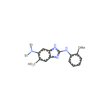 CCN(CC)c1cc2[nH]c(Nc3ccccc3OC)nc2cc1C(=O)O